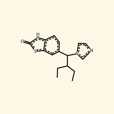 CCC(CC)C(c1ccc2[nH]c(=O)sc2c1)n1ccnc1